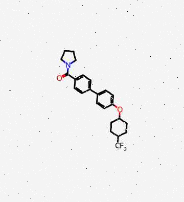 O=C(c1ccc(-c2ccc(OC3CCC(C(F)(F)F)CC3)cc2)cc1)N1CCCC1